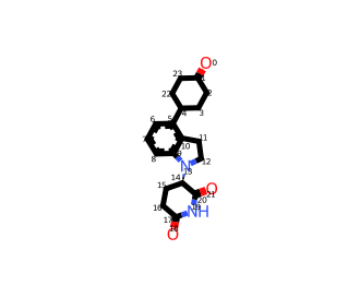 O=C1CCC(c2cccc3c2CCN3[C@H]2CCC(=O)NC2=O)CC1